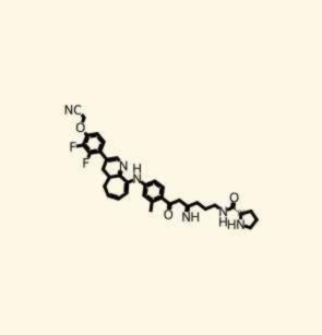 Cc1cc(NC2=CC=CCC3CC(c4ccc(OCC#N)c(F)c4F)=CN=C23)ccc1C(=O)CC(=N)CCCNC(=O)[C@@H]1CCCN1